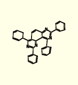 C1=CCC(c2nc(-c3ccccc3)nc3c2ccc2nc(-c4ccccc4)nc(-c4ccccc4)c23)C=C1